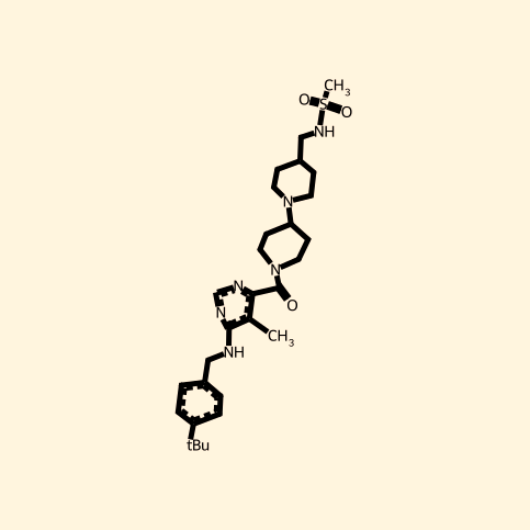 Cc1c(NCc2ccc(C(C)(C)C)cc2)ncnc1C(=O)N1CCC(N2CCC(CNS(C)(=O)=O)CC2)CC1